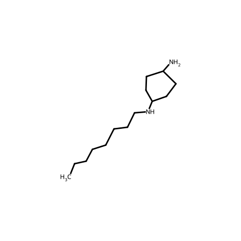 CCCCCCCCNC1CCC(N)CC1